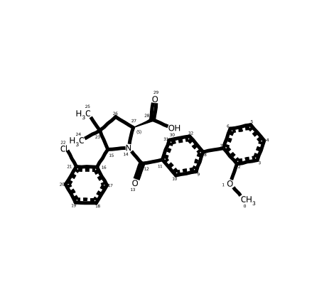 COc1ccccc1-c1ccc(C(=O)N2C(c3ccccc3Cl)C(C)(C)C[C@H]2C(=O)O)cc1